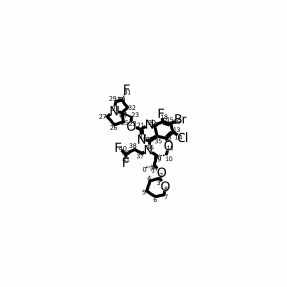 C[C@@H](OC1CCCCO1)[C@H]1COc2c(Cl)c(Br)c(F)c3nc(OC[C@@]45CCCN4C[C@H](F)C5)nc(c23)N1CCC(F)F